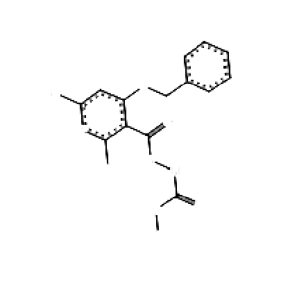 Cc1nc(Cl)cc(OCc2ccccc2)c1C(=O)NNC(=O)OC(C)(C)C